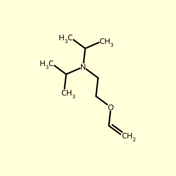 C=COCCN(C(C)C)C(C)C